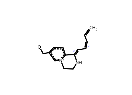 C=C/C=C\C=C1/NCC[n+]2cc(CO)ccc21